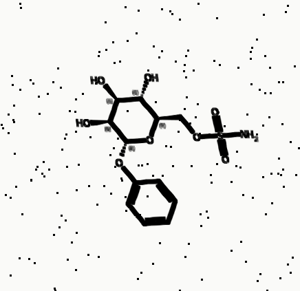 NS(=O)(=O)OC[C@H]1O[C@H](Oc2ccccc2)[C@@H](O)[C@@H](O)[C@@H]1O